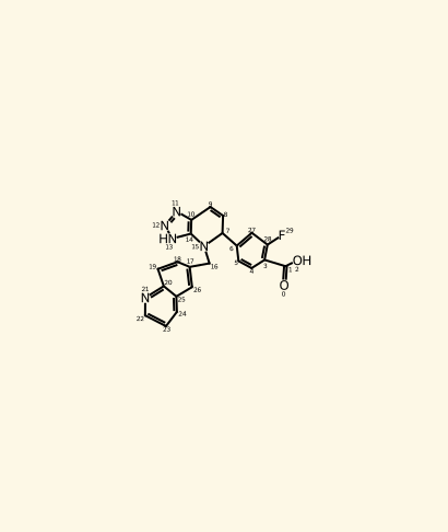 O=C(O)c1ccc(C2C=Cc3nn[nH]c3N2Cc2ccc3ncccc3c2)cc1F